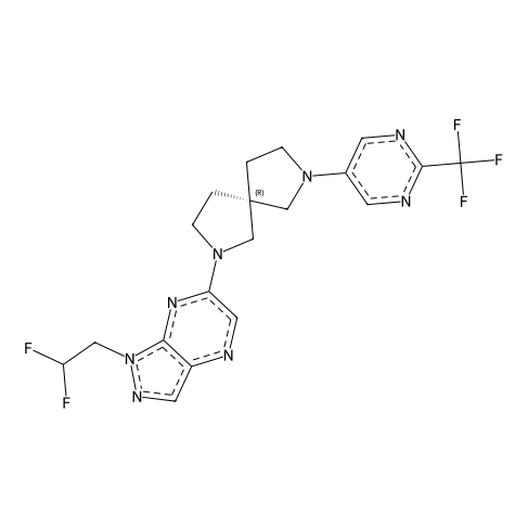 FC(F)Cn1ncc2ncc(N3CC[C@@]4(CCN(c5cnc(C(F)(F)F)nc5)C4)C3)nc21